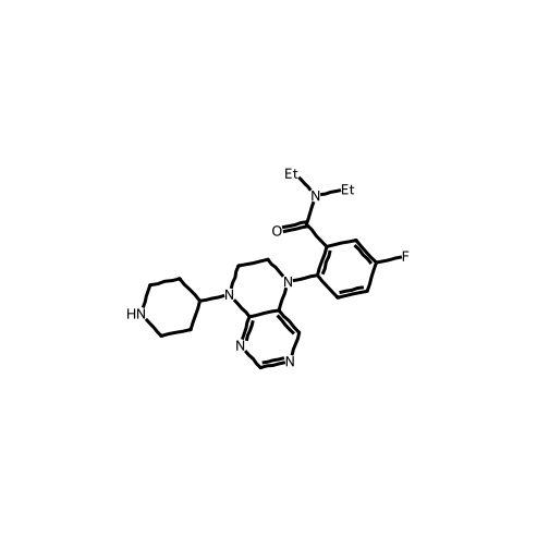 CCN(CC)C(=O)c1cc(F)ccc1N1CCN(C2CCNCC2)c2ncncc21